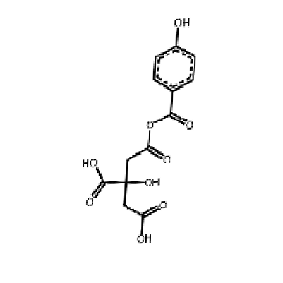 O=C(O)CC(O)(CC(=O)OC(=O)c1ccc(O)cc1)C(=O)O